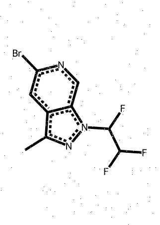 Cc1nn(C(F)C(F)F)c2cnc(Br)cc12